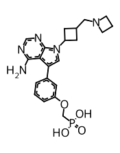 Nc1ncnc2c1c(-c1cccc(OCP(=O)(O)O)c1)cn2C1CC(CN2CCC2)C1